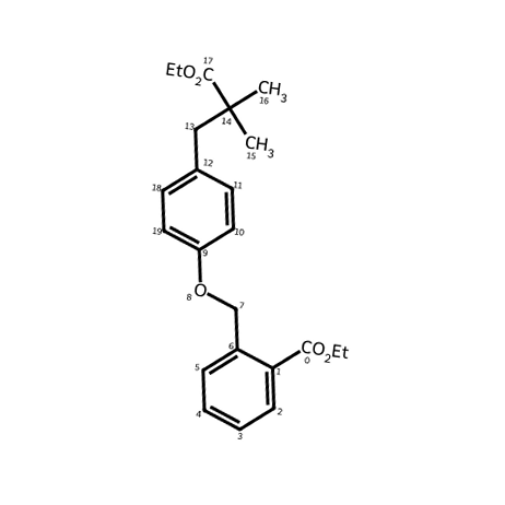 CCOC(=O)c1ccccc1COc1ccc(CC(C)(C)C(=O)OCC)cc1